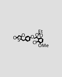 CCC(=O)OC(COc1ccc(CC2SC(=O)CC2=O)cc1)c1cccc(OC)c1Cl